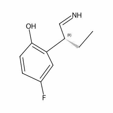 CC[C@@H](C=N)c1cc(F)ccc1O